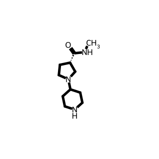 CNC(=O)[C@H]1CCN(C2CCNCC2)C1